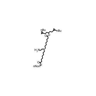 CCCCCCCCCOC(=O)CCCCCCCN(CCN)CCCCCCCC(=O)OC(CCC1CC1CCCC)CCC1C[C@@H]1CCCC